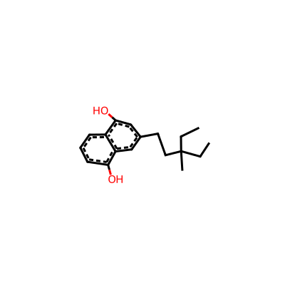 CCC(C)(CC)CCc1cc(O)c2cccc(O)c2c1